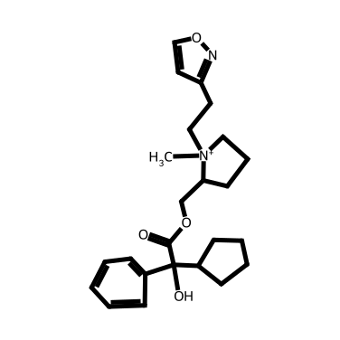 C[N+]1(CCc2ccon2)CCCC1COC(=O)C(O)(c1ccccc1)C1CCCC1